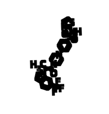 C[C@@H](C(=O)N1CCN(c2ccc(S(=O)(=O)Nc3nccs3)cc2)CC1)n1ccc2ccc(C(F)(F)F)cc21